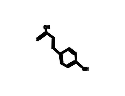 OC(=S)C=Cc1ccc(O)cc1